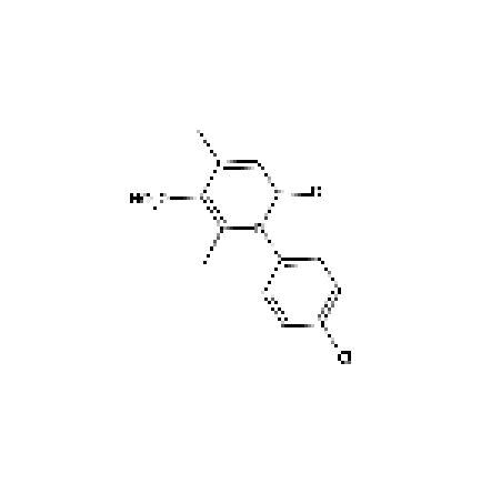 Cc1cc(=O)n(-c2ccc(Cl)cc2)c(C)c1C(=O)O